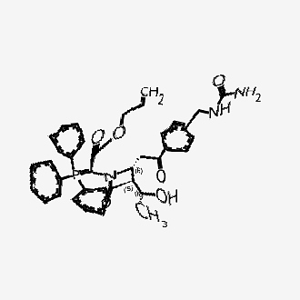 C=CCOC(=O)C(N1C(=O)[C@H]([C@@H](C)O)[C@H]1CC(=O)c1ccc(CNC(N)=O)cc1)=P(c1ccccc1)(c1ccccc1)c1ccccc1